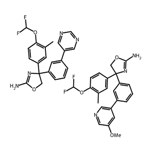 COc1cncc(-c2cccc(C3(c4ccc(OC(F)F)c(C)c4)COC(N)=N3)c2)c1.Cc1cc(C2(c3cccc(-c4cncnc4)c3)COC(N)=N2)ccc1OC(F)F